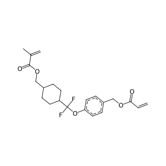 C=CC(=O)OCc1ccc(OC(F)(F)C2CCC(COC(=O)C(=C)C)CC2)cc1